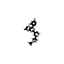 Cc1cnc2c(-c3ccc(F)cc3F)nc(C3=CC(c4cnn(C5CC5)c4)OCC3)nc2n1